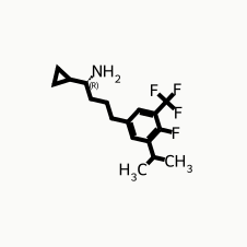 CC(C)c1cc(CCC[C@@H](N)C2CC2)cc(C(F)(F)F)c1F